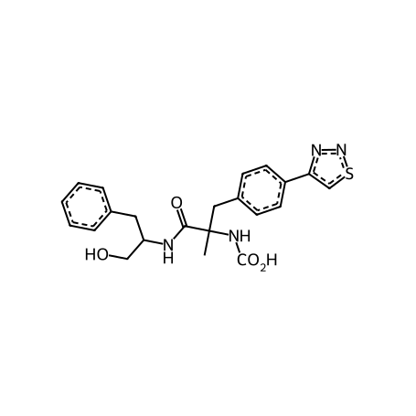 CC(Cc1ccc(-c2csnn2)cc1)(NC(=O)O)C(=O)NC(CO)Cc1ccccc1